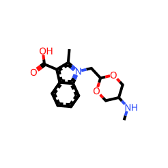 CNC1COC(Cn2c(C)c(C(=O)O)c3ccccc32)OC1